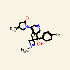 CC(C)c1ccc([C@](O)(c2cncc(N3CC(C(F)(F)F)CC3=O)c2)C2(C)CN(C)C2)cc1